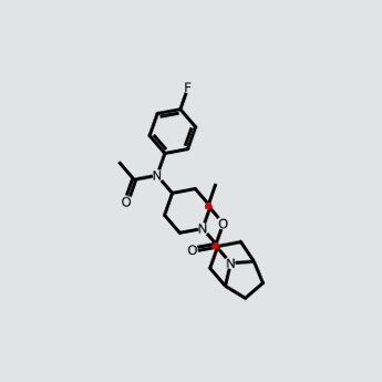 CCOC(=O)N1C2CCC1CC(N1CCC(N(C(C)=O)c3ccc(F)cc3)CC1)C2